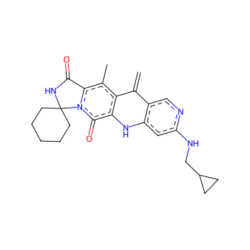 C=C1c2cnc(NCC3CC3)cc2Nc2c1c(C)c1n(c2=O)C2(CCCCC2)NC1=O